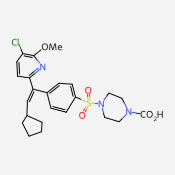 COc1nc(C(=CC2CCCC2)c2ccc(S(=O)(=O)N3CCN(C(=O)O)CC3)cc2)ccc1Cl